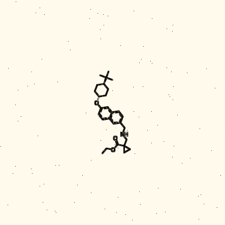 CCOC(=O)C1(CNCc2ccc3cc(O[C@H]4CC[C@H](C(C)(C)C)CC4)ccc3c2)CC1